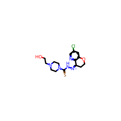 OCCN1CCN(C(=S)N/N=C2/CCOc3cc(Cl)cnc32)CC1